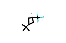 CC(C)(C)[C@H]1C[C@@](C)(C(F)(F)F)C1